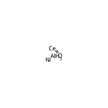 [AlH3].[Ni].[O]=[Ce]